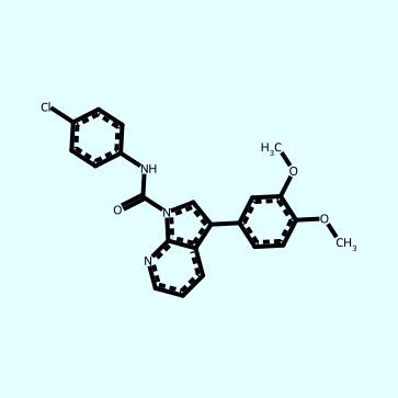 COc1ccc(-c2cn(C(=O)Nc3ccc(Cl)cc3)c3ncccc23)cc1OC